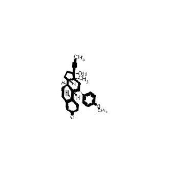 CC#C[C@]1(O)CC[C@H]2[C@@H]3C=CC4=CC(=O)CC[C@@H]4[C@H]3[C@@H](c3ccc(OC)cc3)C[C@@]21C